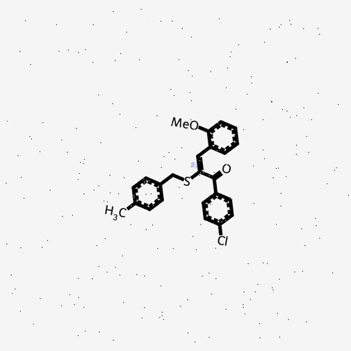 COc1ccccc1/C=C(/SCc1ccc(C)cc1)C(=O)c1ccc(Cl)cc1